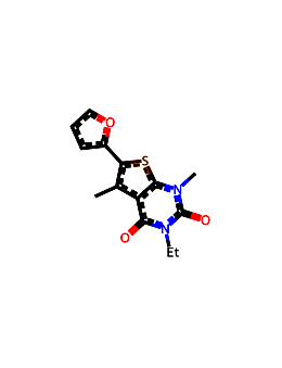 CCn1c(=O)c2c(C)c(-c3ccco3)sc2n(C)c1=O